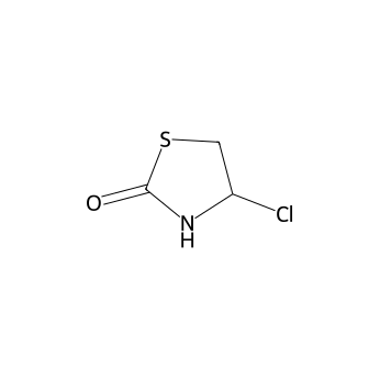 O=C1NC(Cl)CS1